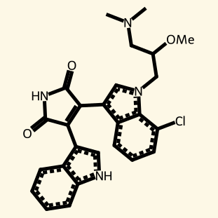 COC(CN(C)C)Cn1cc(C2=C(c3c[nH]c4ccccc34)C(=O)NC2=O)c2cccc(Cl)c21